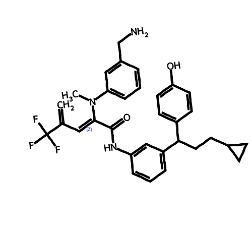 C=C(/C=C(/C(=O)Nc1cccc(C(CCC2CC2)c2ccc(O)cc2)c1)N(C)c1cccc(CN)c1)C(F)(F)F